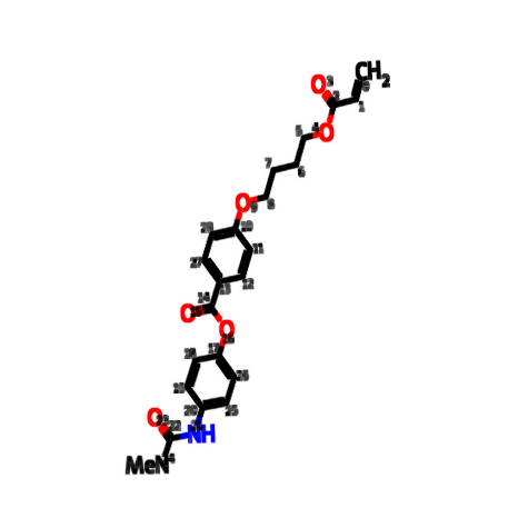 C=CC(=O)OCCCCOc1ccc(C(=O)Oc2ccc(NC(=O)NC)cc2)cc1